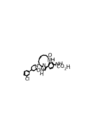 O=C(O)Nc1ccc2c(c1)NC(=O)CCC=CC[C@H](N1CCC(c3cccc(Cl)c3)CC1=O)c1nc-2c[nH]1